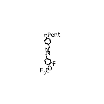 CCCCCc1ccc(C=NN=Cc2ccc(OC(F)(F)F)c(F)c2)cc1